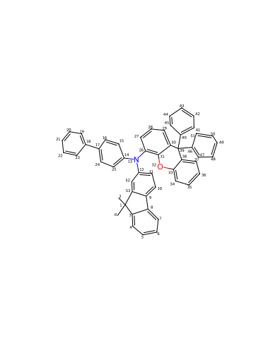 CC1(C)c2ccccc2-c2ccc(N(c3ccc(-c4ccccc4)cc3)c3cccc4c3Oc3ccccc3C4(c3ccccc3)c3ccccc3)cc21